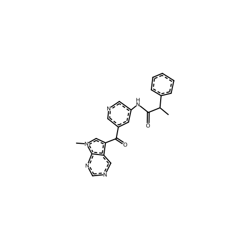 CC(C(=O)Nc1cncc(C(=O)c2cn(C)c3ncncc23)c1)c1ccccc1